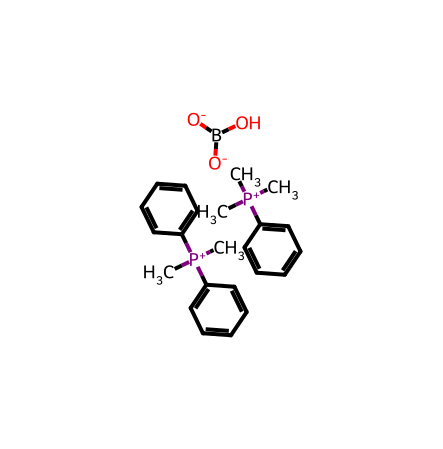 C[P+](C)(C)c1ccccc1.C[P+](C)(c1ccccc1)c1ccccc1.[O-]B([O-])O